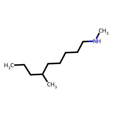 CCCC(C)CCCCCNC